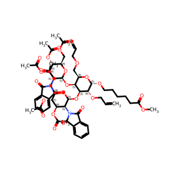 C=CCOC[C@H]1O[C@H](OCCCCCC(=O)OC)[C@H](OCC=C)[C@@H](O[C@@H]2O[C@H](COC(C)=O)[C@@H](OC(C)=O)[C@H](OC(C)=O)[C@@H]2N2C(=O)c3ccccc3C2=O)[C@H]1O[C@@H]1O[C@H](COC(C)=O)[C@@H](OC(C)=O)[C@H](OC(C)=O)[C@@H]1N1C(=O)c2ccccc2C1=O